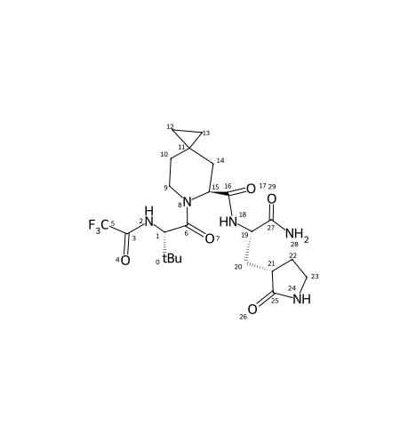 CC(C)(C)[C@H](NC(=O)C(F)(F)F)C(=O)N1CCC2(CC2)C[C@H]1C(=O)N[C@@H](C[C@@H]1CCNC1=O)C(N)=O